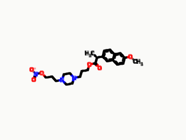 COc1ccc2cc([C@H](C)C(=O)OCCCN3CCN(CCCO[N+](=O)[O-])CC3)ccc2c1